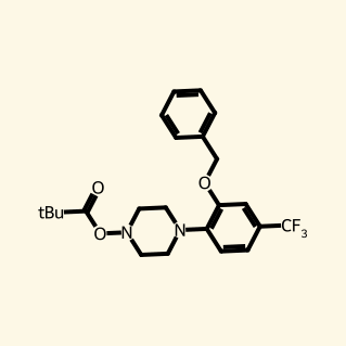 CC(C)(C)C(=O)ON1CCN(c2ccc(C(F)(F)F)cc2OCc2ccccc2)CC1